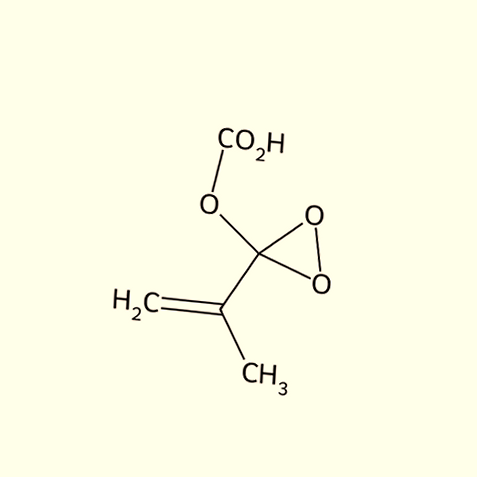 C=C(C)C1(OC(=O)O)OO1